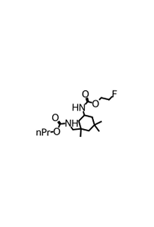 CCCOC(=O)NCC1(C)CC(NC(=O)OCCF)CC(C)(C)C1